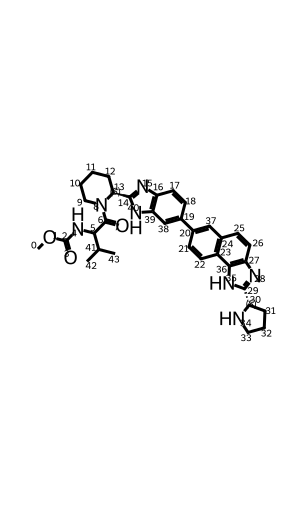 COC(=O)NC(C(=O)N1CCCC[C@H]1c1nc2ccc(-c3ccc4c(ccc5nc([C@@H]6CCCN6)[nH]c54)c3)cc2[nH]1)C(C)C